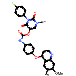 COc1cc2nccc(Oc3ccc(NC(=O)Oc4cn(C(C)C)c(=O)n(-c5ccc(F)cc5)c4=O)cc3)c2cc1C#N